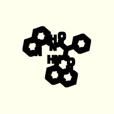 O=C(Nc1cccc2cccnc12)C(C(=O)Nc1cccc2cccnc12)c1ccccc1